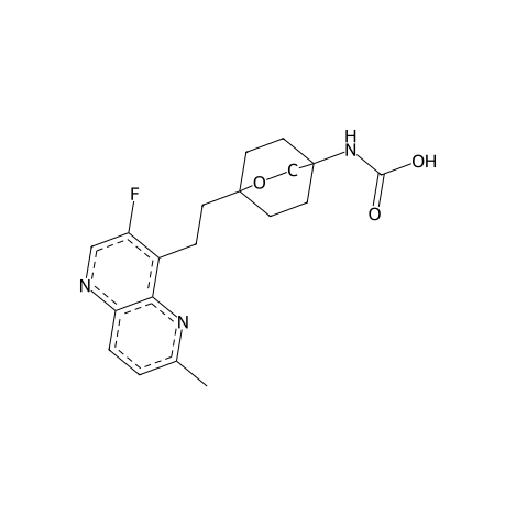 Cc1ccc2ncc(F)c(CCC34CCC(NC(=O)O)(CC3)CO4)c2n1